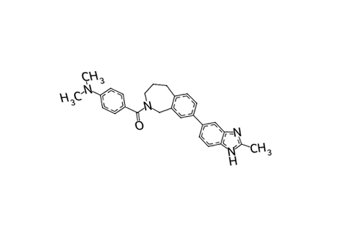 Cc1nc2cc(-c3ccc4c(c3)CN(C(=O)c3ccc(N(C)C)cc3)CCC4)ccc2[nH]1